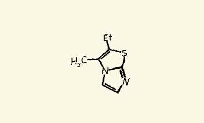 CCc1sc2nccn2c1C